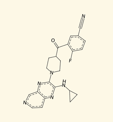 N#Cc1ccc(F)c(C(=O)C2CCN(c3nc4cnccc4nc3NC3CC3)CC2)c1